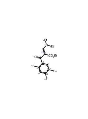 CCOC(=O)/C(=C\N(CC)CC)C(=O)c1cc(F)c(F)cc1F